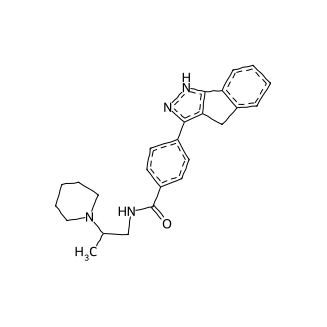 CC(CNC(=O)c1ccc(-c2n[nH]c3c2Cc2ccccc2-3)cc1)N1CCCCC1